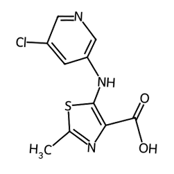 Cc1nc(C(=O)O)c(Nc2cncc(Cl)c2)s1